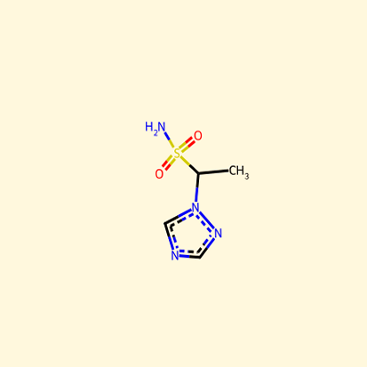 CC(n1cncn1)S(N)(=O)=O